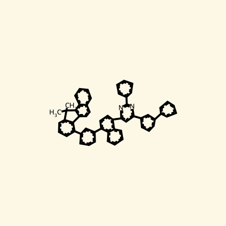 CC1(C)c2cccc(-c3cccc(-c4ccc(-c5cc(-c6cccc(-c7ccccc7)c6)nc(-c6ccccc6)n5)c5ccccc45)c3)c2-c2ccc3ccccc3c21